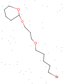 BrCCCCCOCCCOC1CCCCO1